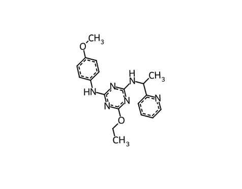 CCOc1nc(Nc2ccc(OC)cc2)nc(NC(C)c2ccccn2)n1